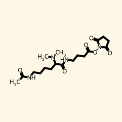 CC(=O)NCCCCC(C(=O)NCCCC(=O)ON1C(=O)CCC1=O)N(C)C